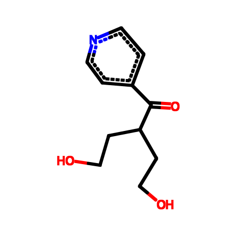 O=C(c1ccncc1)C(CCO)CCO